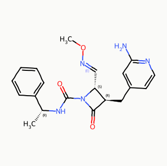 CO/N=C/[C@@H]1[C@@H](Cc2ccnc(N)c2)C(=O)N1C(=O)N[C@H](C)c1ccccc1